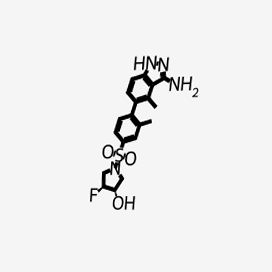 Cc1cc(S(=O)(=O)N2C[C@H](O)[C@@H](F)C2)ccc1-c1ccc2[nH]nc(N)c2c1C